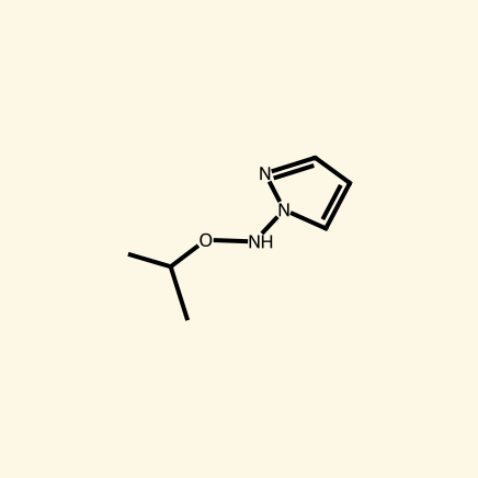 CC(C)ONn1cccn1